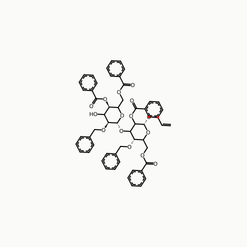 C=CCO[C@@H]1OC(COC(=O)c2ccccc2)[C@H](OCc2ccccc2)C(O[C@H]2OC(COC(=O)c3ccccc3)[C@H](OC(=O)c3ccccc3)C(O)[C@@H]2OCc2ccccc2)C1OC(=O)c1ccccc1